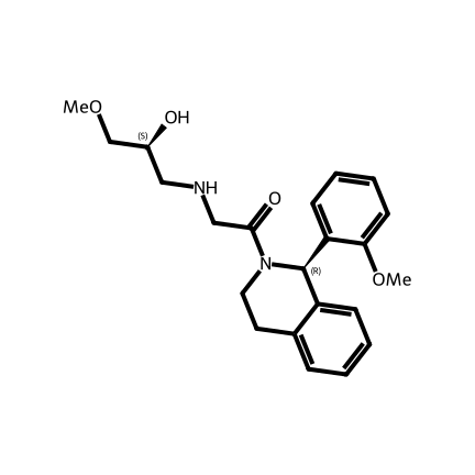 COC[C@@H](O)CNCC(=O)N1CCc2ccccc2[C@@H]1c1ccccc1OC